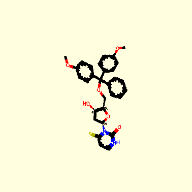 COc1ccc(C(OC[C@H]2O[C@@H](n3c(=S)cc[nH]c3=O)C[C@H]2O)(c2ccccc2)c2ccc(OC)cc2)cc1